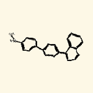 OBc1ccc(-c2ccc(-c3cccc4ccccc34)cc2)cc1